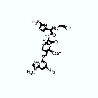 C#CCO/N=C(\C(=O)NC1C(=O)N2C(C(=O)[O-])=C(CSc3nc(N)cc4n(C)cn[n+]34)CS[C@@H]12)c1csc(N)n1